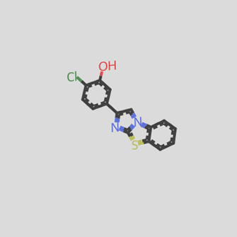 Oc1cc(-c2cn3c(n2)sc2ccccc23)ccc1Cl